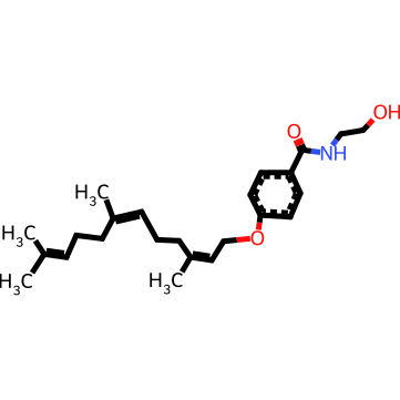 CC(C)=CCCC(C)=CCCC(C)=CCOc1ccc(C(=O)NCCO)cc1